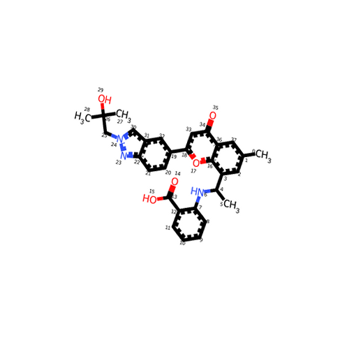 Cc1cc(C(C)Nc2ccccc2C(=O)O)c2oc(-c3ccc4nn(CC(C)(C)O)cc4c3)cc(=O)c2c1